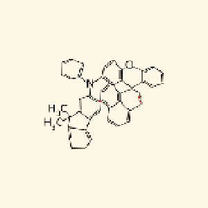 CC1(C)c2ccccc2-c2ccc(N(c3ccccc3)c3ccc4c(c3)C3(c5ccccc5O4)c4ccccc4-c4cccc5cccc3c45)cc21